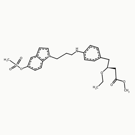 CCO[C@H](CC(=O)OC)Cc1ccc(NCCCn2ccc3cc(OS(C)(=O)=O)ccc32)cc1